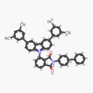 N#Cc1cc(C#N)cc(-c2ccc3c(c2)c2cc(-c4cc(C#N)cc(C#N)c4)ccc2n3-c2cccc3c2C(=O)N(c2ccc(-c4ccccc4)cc2)C3=O)c1